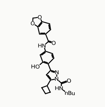 CCCCNC(=O)n1nc(-c2ccc(NC(=O)c3ccc4c(c3)OCO4)cc2O)cc1C1CCC1